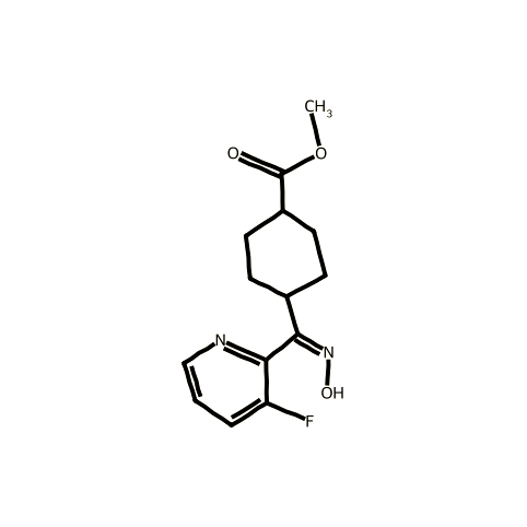 COC(=O)C1CCC(/C(=N/O)c2ncccc2F)CC1